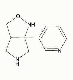 c1cncc(C23CNCC2CON3)c1